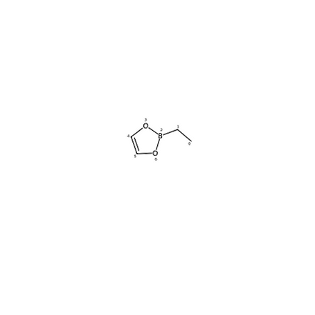 CCB1OC=CO1